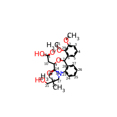 COc1cccc(C2OC(CC(=O)O)C(=O)N(CC(C)(C)CO)c3ccccc32)c1OC